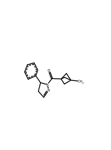 CC12CC(C(=O)N3N=CCC3c3ccccc3)(C1)C2